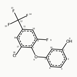 Oc1cccc(Oc2c(F)cc(C(F)(F)F)cc2Cl)c1